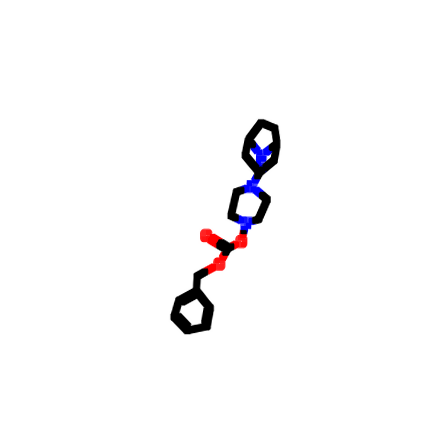 O=C(OCc1ccccc1)ON1CCN(C2CC3CCC(C2)N3)CC1